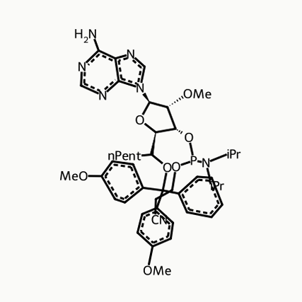 CCCCCC(OC(c1ccccc1)(c1ccc(OC)cc1)c1ccc(OC)cc1)[C@H]1O[C@@H](n2cnc3c(N)ncnc32)[C@H](OC)[C@@H]1OP(OCCC#N)N(C(C)C)C(C)C